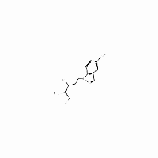 COC(CO)C(O)CCn1ncc2cc(N=O)ccc21